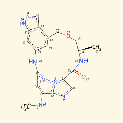 CNc1cc2nn3c(cnc13)C(=O)N[C@H](C)COCc1cc(cc3[nH]ncc13)N2